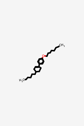 CCCCCCCCOc1ccc(C2=CCC(CCCCCC)CC2)cc1